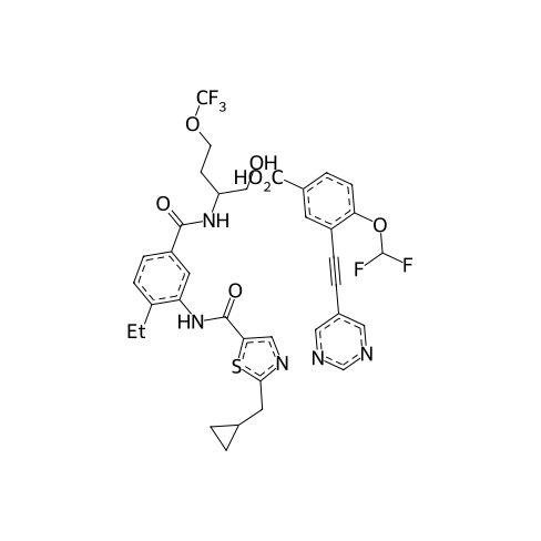 CCc1ccc(C(=O)NC(CO)CCOC(F)(F)F)cc1NC(=O)c1cnc(CC2CC2)s1.O=C(O)c1ccc(OC(F)F)c(C#Cc2cncnc2)c1